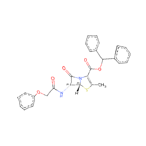 CC1=C(C(=O)OC(c2ccccc2)c2ccccc2)N2C(=O)[C@@H](NC(=O)COc3ccccc3)[C@H]2S1